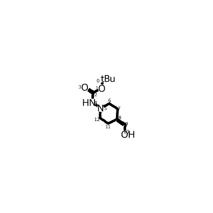 CC(C)(C)OC(=O)NN1CCC(=CO)CC1